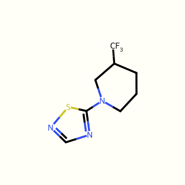 FC(F)(F)C1CCCN(c2ncns2)C1